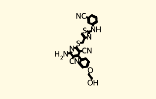 N#Cc1cccc(Nc2nc(CSc3nc(N)c(C#N)c(-c4ccc(OCCO)cc4)c3C#N)cs2)c1